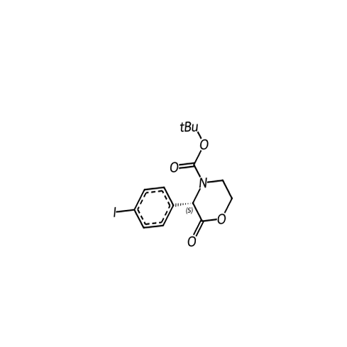 CC(C)(C)OC(=O)N1CCOC(=O)[C@@H]1c1ccc(I)cc1